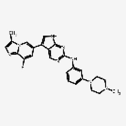 Cc1cnc2c(F)cc(-c3c[nH]c4nc(Nc5cccc(N6CCN(C)CC6)c5)ncc34)cn12